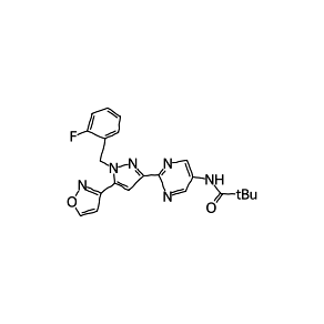 CC(C)(C)C(=O)Nc1cnc(-c2cc(-c3ccon3)n(Cc3ccccc3F)n2)nc1